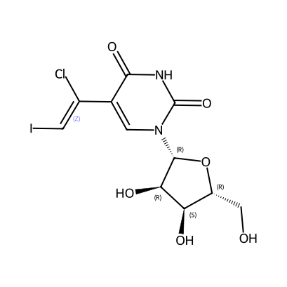 O=c1[nH]c(=O)n([C@@H]2O[C@H](CO)[C@@H](O)[C@H]2O)cc1/C(Cl)=C/I